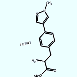 COC(=O)[C@@H](N)Cc1ccc(-c2cnn(C)c2)cc1.Cl.Cl